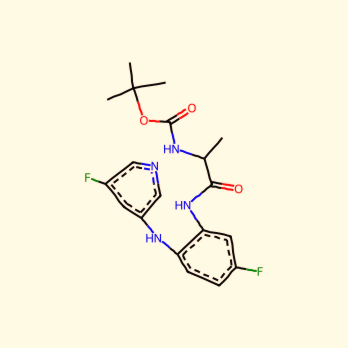 CC(NC(=O)OC(C)(C)C)C(=O)Nc1cc(F)ccc1Nc1cncc(F)c1